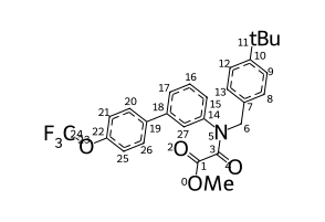 COC(=O)C(=O)N(Cc1ccc(C(C)(C)C)cc1)c1cccc(-c2ccc(OC(F)(F)F)cc2)c1